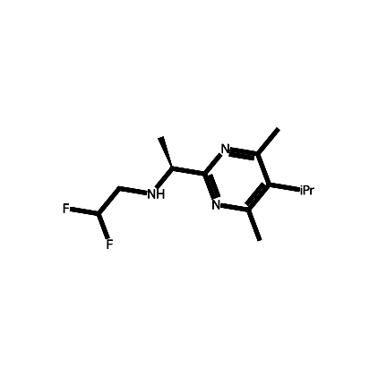 Cc1nc([C@H](C)NCC(F)F)nc(C)c1C(C)C